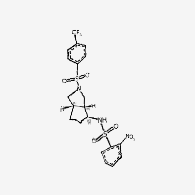 O=[N+]([O-])c1ccccc1S(=O)(=O)N[C@H]1CC[C@@H]2CN(S(=O)(=O)c3ccc(C(F)(F)F)cc3)C[C@@H]21